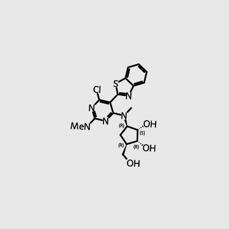 CNc1nc(Cl)c(-c2nc3ccccc3s2)c(N(C)[C@@H]2C[C@H](CO)[C@@H](O)[C@H]2O)n1